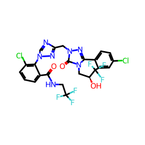 O=C(NCC(F)(F)F)c1cccc(Cl)c1-n1cnc(Cn2nc(-c3ccc(Cl)cc3)n(C[C@H](O)C(F)(F)F)c2=O)n1